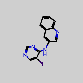 Ic1cncnc1Nc1cnc2ccccc2c1